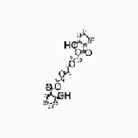 O=C(OCCOCCOCCOC(=O)c1ccccc1O)c1ccccc1O